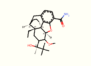 CC[C@]12CC([C@](C)(O)C(C)(C)C)C(OC)[C@@H]3Oc4c(C(N)=O)ccc5c4[C@@]31CCC[C@@H]2C5